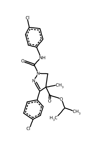 CC(C)OC(=O)C1(C)CN(C(=O)Nc2ccc(Cl)cc2)N=C1c1ccc(Cl)cc1